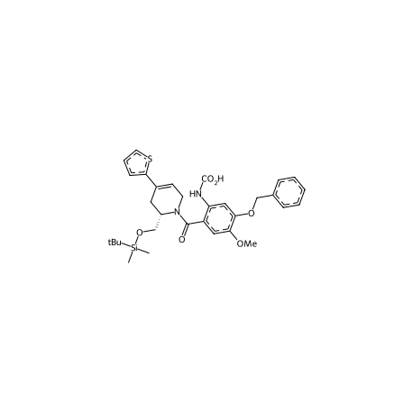 COc1cc(C(=O)N2CC=C(c3cccs3)C[C@H]2CO[Si](C)(C)C(C)(C)C)c(NC(=O)O)cc1OCc1ccccc1